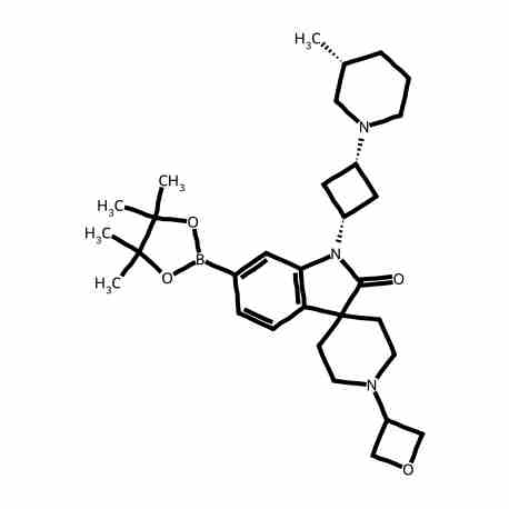 C[C@@H]1CCCN([C@H]2C[C@@H](N3C(=O)C4(CCN(C5COC5)CC4)c4ccc(B5OC(C)(C)C(C)(C)O5)cc43)C2)C1